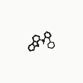 CN(c1ccccc1C1CCCCC1)c1cccc2c1sc1ccccc12